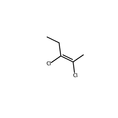 CC/C(Cl)=C(\C)Cl